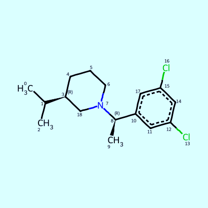 CC(C)[C@H]1CCCN([C@H](C)c2cc(Cl)cc(Cl)c2)C1